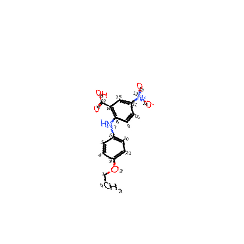 CCOc1ccc(Nc2ccc([N+](=O)[O-])cc2C(=O)O)cc1